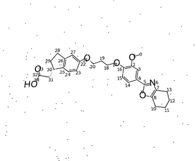 COc1cc(-c2nc3c(o2)CCCC3)ccc1OCCCOc1ccc2c(c1)CC[C@H]2CC(=O)O